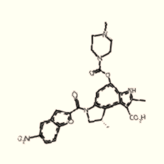 Cc1[nH]c2c(OC(=O)N3CCN(C)CC3)cc3c(c2c1C(=O)O)[C@H](C)CN3C(=O)c1cc2cc([N+](=O)[O-])ccc2o1